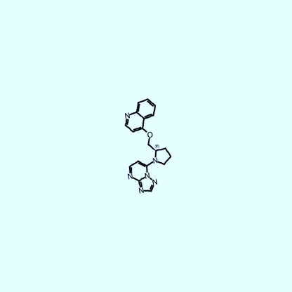 c1ccc2c(OC[C@H]3CCCN3c3ccnc4ncnn34)ccnc2c1